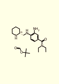 CC(C)(C)OC=O.CCN(CC)C(=O)c1ccc(NC[C@H]2CCCCN2)c(N)c1